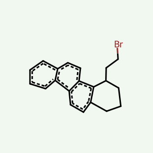 BrCCC1CCCc2ccc3c(ccc4ccccc43)c21